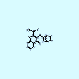 NC(=O)c1oc2ccccc2c(=O)c1CC1CC2CCC1C2